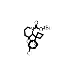 C=C1CCCN(C(=O)OC(C)(C)C)C1C1(c2ccc(Cl)cc2)CCC1